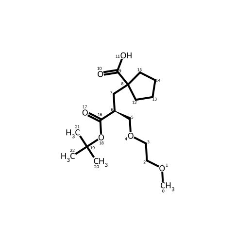 COCCOC[C@H](CC1(C(=O)O)CCCC1)C(=O)OC(C)(C)C